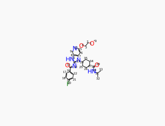 COCCOc1cc2c(cn1)[nH]/c(=N\C(=O)c1ccc(F)cc1)n2[C@H]1CC[C@@H](C(=O)NC(C)C)CC1